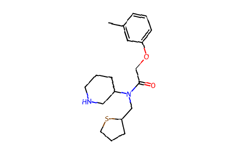 Cc1cccc(OCC(=O)N(CC2CCCS2)C2CCCNC2)c1